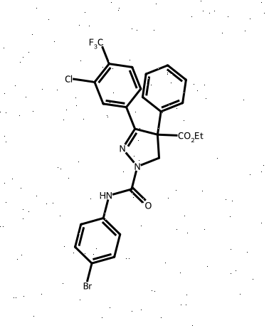 CCOC(=O)C1(c2ccccc2)CN(C(=O)Nc2ccc(Br)cc2)N=C1c1ccc(C(F)(F)F)c(Cl)c1